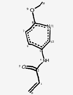 C=CC(=O)Nc1ccc(OC)nc1